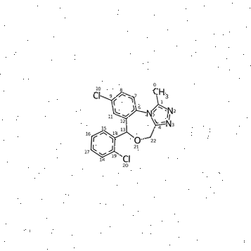 Cc1nnc2n1-c1ccc(Cl)cc1C(c1ccccc1Cl)OC2